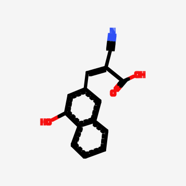 N#CC(=Cc1cc(O)c2ccccc2c1)C(=O)O